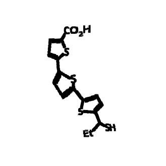 CCC(S)c1ccc(-c2ccc(-c3ccc(C(=O)O)s3)s2)s1